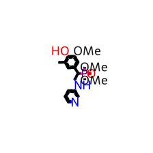 COc1cc(C(CNc2cccnc2)P(=O)(OC)OC)cc(C)c1O